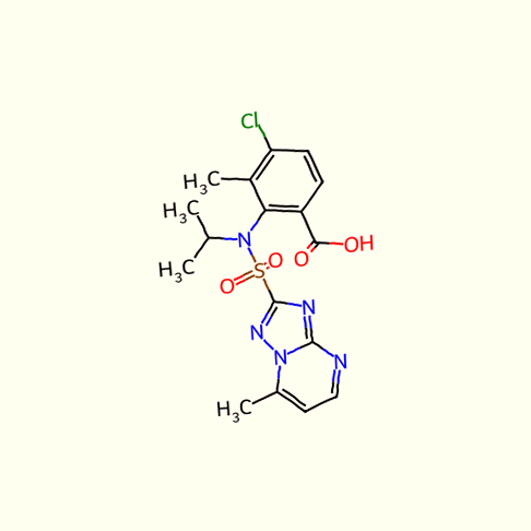 Cc1c(Cl)ccc(C(=O)O)c1N(C(C)C)S(=O)(=O)c1nc2nccc(C)n2n1